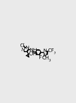 Cn1cc(C(F)(F)F)nc1-c1ccc(CNc2nc(Cl)ncc2C2(O)CC2)cc1F